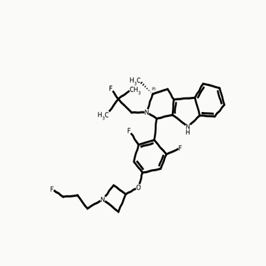 C[C@@H]1Cc2c([nH]c3ccccc23)C(c2c(F)cc(OC3CN(CCCF)C3)cc2F)N1CC(C)(C)F